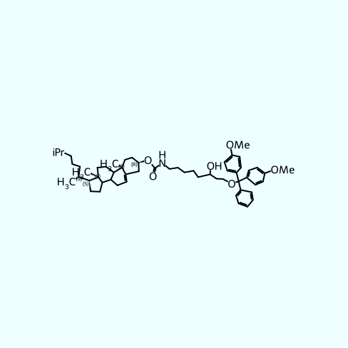 COc1ccc(C(OCCC(O)CCCCCNC(=O)O[C@@H]2CC[C@]3(C)C(=CCC4C3CC[C@]3(C)C4CC[C@H]3[C@@H](C)CCCC(C)C)C2)(c2ccccc2)c2ccc(OC)cc2)cc1